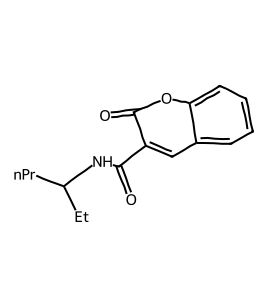 CCCC(CC)NC(=O)c1cc2ccccc2oc1=O